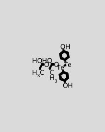 CCC(=O)O.CCC(=O)O.Oc1ccc([Te][Te]c2ccc(O)cc2)cc1